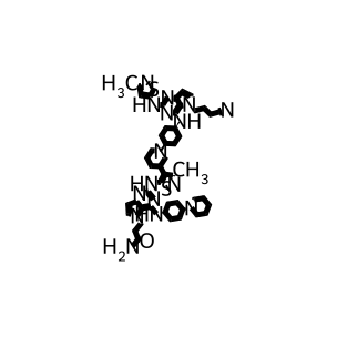 Cc1cc(Nc2nc(N[C@H]3CC[C@H](N4CCCC(c5c(C)nsc5Nc5nc(N[C@H]6CC[C@H](N7CCCCC7)CC6)c6c(ccn6CCC(N)=O)n5)C4)CC3)c3c(ccn3CCCC#N)n2)sn1